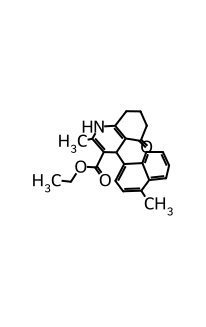 CCOC(=O)C1=C(C)NC2=C(C(=O)CCC2)C1c1ccc(C)c2ccccc12